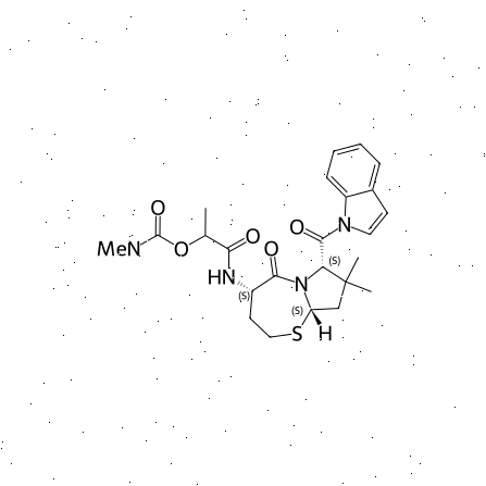 CNC(=O)OC(C)C(=O)N[C@H]1CCS[C@H]2CC(C)(C)[C@@H](C(=O)n3ccc4ccccc43)N2C1=O